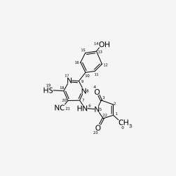 CC1=CC(=O)N(Nc2nc(-c3ccc(O)cc3)nc(S)c2C#N)C1=O